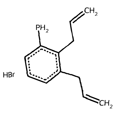 Br.C=CCc1cccc(P)c1CC=C